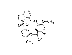 COc1cc(F)c([N+](=O)[O-])cc1OCc1cccc2ccn(S(=O)(=O)c3ccc(C)cc3)c12